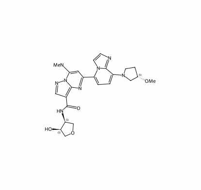 CNc1cc(-c2ccc(N3CC[C@H](OC)C3)c3nccn23)nc2c(C(=O)N[C@H]3COC[C@H]3O)cnn12